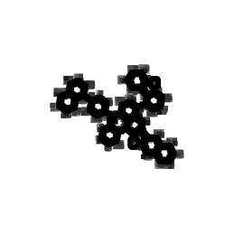 c1ccc(N(c2ccc(-c3cccc4ccccc34)cc2)c2ccc(-c3cccc4oc5ccccc5c34)cc2)c(-c2cccc3c2oc2cc4ccccc4cc23)c1